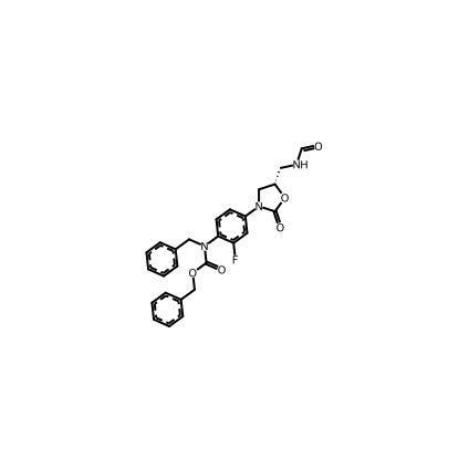 O=CNC[C@H]1CN(c2ccc(N(Cc3ccccc3)C(=O)OCc3ccccc3)c(F)c2)C(=O)O1